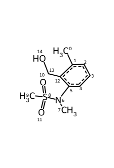 Cc1cccc(N(C)S(C)(=O)=O)c1CO